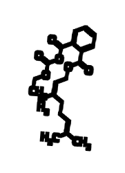 CCOC(=O)OC(=O)c1ccccc1C(=O)OCC=C(C)CCC=C(C)C